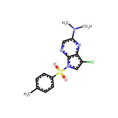 Cc1ccc(S(=O)(=O)n2cc(Cl)c3nc(N(C)C(=O)O)cnc32)cc1